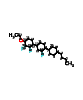 CCCCC1CCC(C2CCC(C3CCC(OCC)C(F)C3F)CC2F)CC1